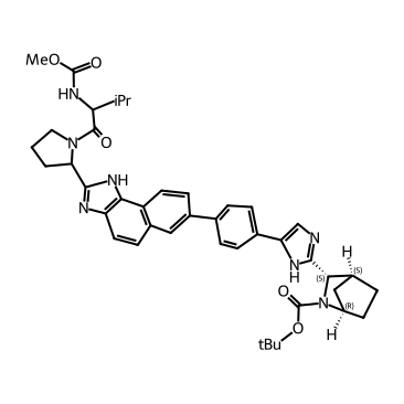 COC(=O)NC(C(=O)N1CCCC1c1nc2ccc3cc(-c4ccc(-c5cnc([C@@H]6[C@H]7CC[C@H](C7)N6C(=O)OC(C)(C)C)[nH]5)cc4)ccc3c2[nH]1)C(C)C